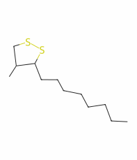 CCCCCCCCC1SSCC1C